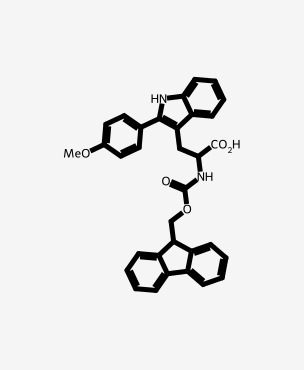 COc1ccc(-c2[nH]c3ccccc3c2CC(NC(=O)OCC2c3ccccc3-c3ccccc32)C(=O)O)cc1